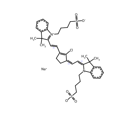 CC1(C)C(/C=C/C2=C(Cl)C(=C\C=C3/N(CCCCS(=O)(=O)[O-])c4ccccc4C3(C)C)/CC2)=[N+](CCCCS(=O)(=O)[O-])c2ccccc21.[Na+]